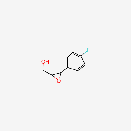 OCC1OC1c1ccc(F)cc1